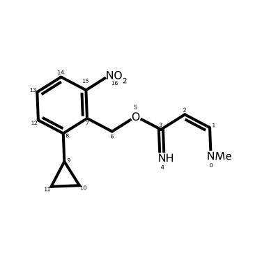 CN/C=C\C(=N)OCc1c(C2CC2)cccc1[N+](=O)[O-]